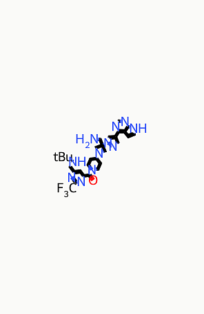 CC(C)(C)NCc1cc(C(=O)N2CCC(N3CC(CN)(n4cc(-c5ncnc6[nH]ccc56)cn4)C3)CC2)nc(C(F)(F)F)n1